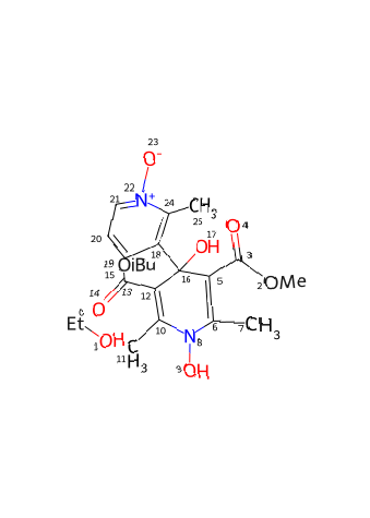 CCO.COC(=O)C1=C(C)N(O)C(C)=C(C(=O)OCC(C)C)C1(O)c1ccc[n+]([O-])c1C